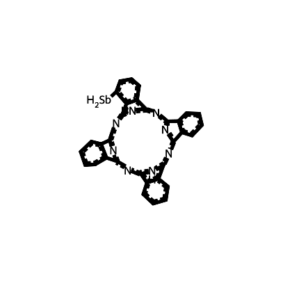 [SbH2][c]1cccc2c3nc4nc(nc5[nH]c(nc6nc(nc([nH]3)c12)-c1ccccc1-6)c1ccccc51)-c1ccccc1-4